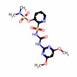 COc1cc(OC)nc(NC(=O)NS(=O)(=O)c2ncccc2OS(=O)(=O)N(C)C)n1